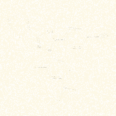 COc1cc([N+](=O)[O-])ccc1N1N=C(c2ccccc2)NN1c1ccc(C#N)cc1